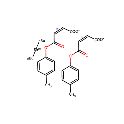 CCC[CH2][Sn+2][CH2]CCC.Cc1ccc(OC(=O)/C=C\C(=O)[O-])cc1.Cc1ccc(OC(=O)/C=C\C(=O)[O-])cc1